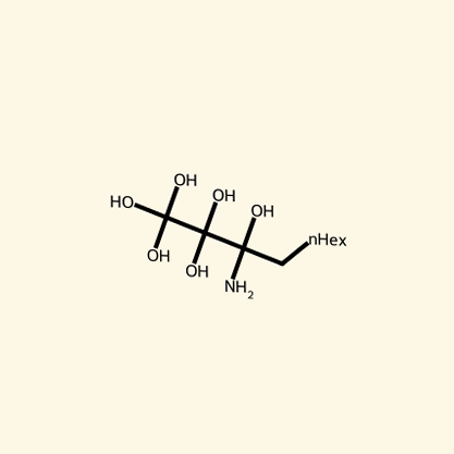 CCCCCCCC(N)(O)C(O)(O)C(O)(O)O